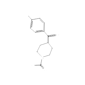 O=C(c1ccc(F)cc1)C1CCN(C(=O)O)CC1